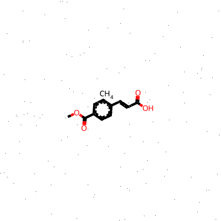 C.COC(=O)c1ccc(C=CC(=O)O)cc1